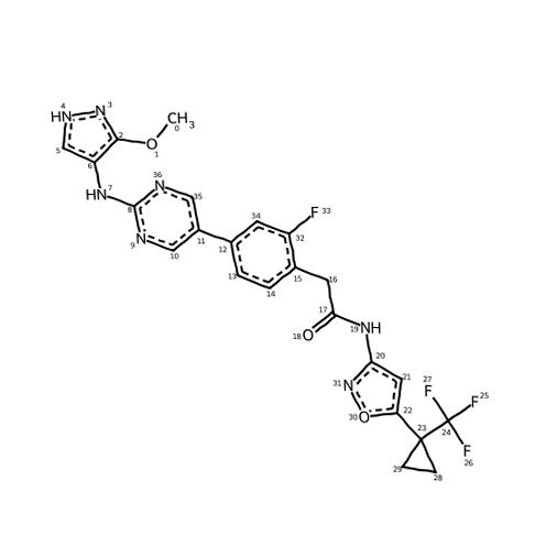 COc1n[nH]cc1Nc1ncc(-c2ccc(CC(=O)Nc3cc(C4(C(F)(F)F)CC4)on3)c(F)c2)cn1